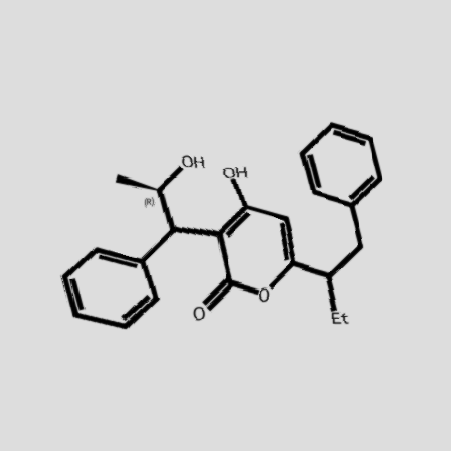 CCC(Cc1ccccc1)c1cc(O)c(C(c2ccccc2)[C@@H](C)O)c(=O)o1